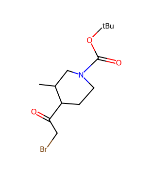 CC1CN(C(=O)OC(C)(C)C)CCC1C(=O)CBr